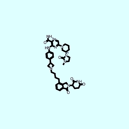 CN1CCN([C@@H]2CCCN(c3cnc(C(N)=O)c(Nc4ccc(C5CN(CCCCc6cccc7c6CN(C6CCC(=O)NC6=O)C7=O)C5)cc4)n3)C2)C1=O